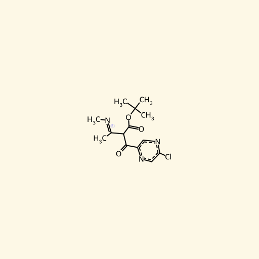 C/N=C(\C)C(C(=O)OC(C)(C)C)C(=O)c1cnc(Cl)cn1